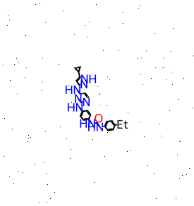 CCc1ccc(NC(=O)Nc2ccc(Nc3nccc(Nc4cc(C5CC5)[nH]n4)n3)cc2)cc1